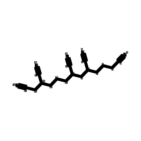 N#CCCCC(C#N)CC(C#N)CCCC(C#N)CC#N